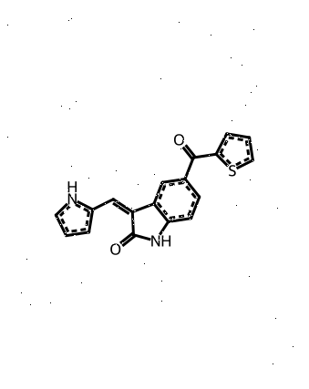 O=C1Nc2ccc(C(=O)c3cccs3)cc2/C1=C/c1ccc[nH]1